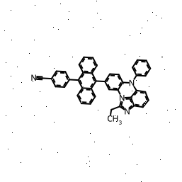 CCc1nc2cccc3c2n1-c1cc(-c2c4ccccc4c(-c4ccc(C#N)cc4)c4ccccc24)ccc1N3c1ccccc1